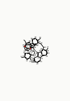 Cc1ccc([O][Zr]2([O]c3ccc(C)cc3C(C)(C)C)[C]3=C4C=CC=CC4c4ccc(C)c(c43)CCc3c(C)ccc4c3[C]2=C2C=CC=CC24)c(C(C)(C)C)c1